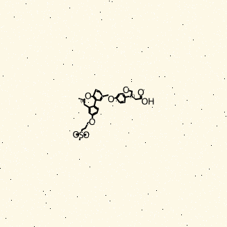 C[C@@H]1Cc2cc(OCCCS(C)(=O)=O)ccc2-c2cc(COc3ccc4c(c3)OC[C@H]4CC(=O)O)ccc2O1